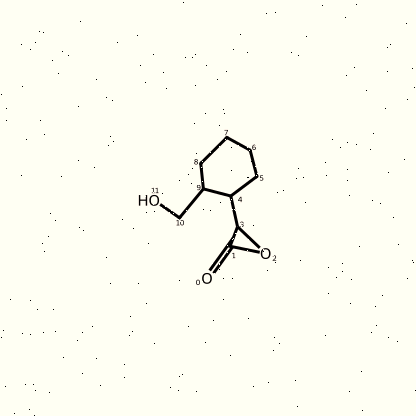 O=C1OC1C1CCCCC1CO